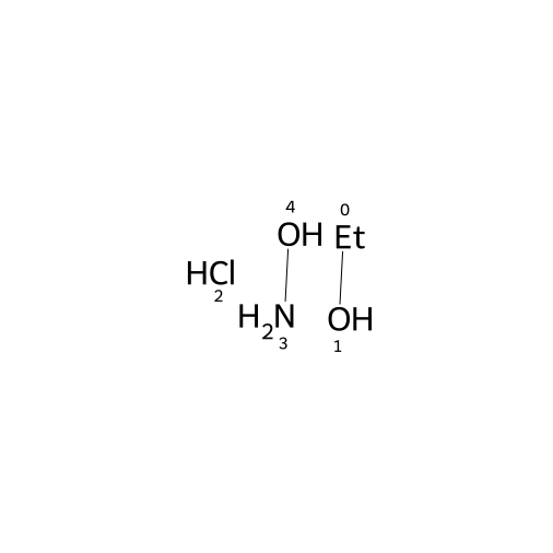 CCO.Cl.NO